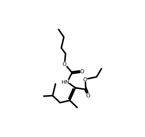 CCCCOC(=O)N/C(C(=O)OCC)=C(/C)CC(C)C